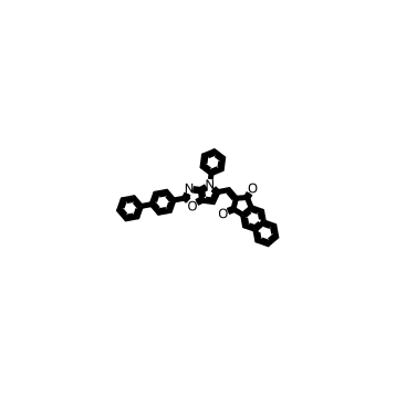 O=C1C(=Cc2cc3oc(-c4ccc(-c5ccccc5)cc4)nc3n2-c2ccccc2)C(=O)c2cc3ccccc3cc21